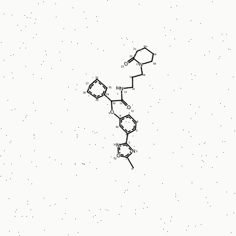 Cc1nc(-c2cccc(OC(C(=O)NCCCN3CCCCC3=O)c3ccccc3)c2)no1